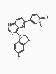 Cn1cc(-c2ccc3ncnc(N4CCc5cc(F)ccc54)c3n2)ccc1=O